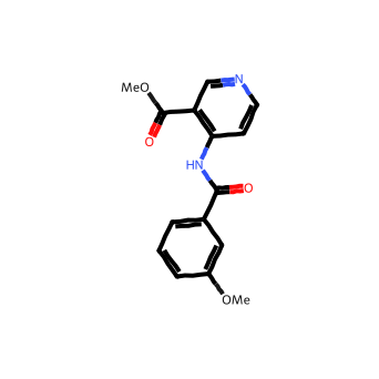 COC(=O)c1cnccc1NC(=O)c1cccc(OC)c1